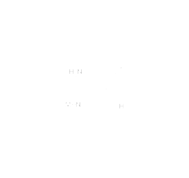 CNC(N)C(=O)O